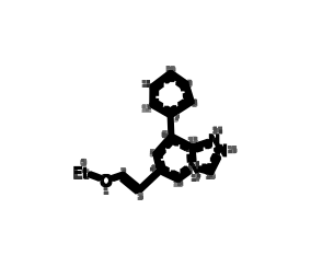 CCOC=Cc1cc(-c2ccccc2)c2nncn2c1